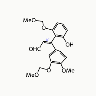 COCOc1cc(/C(=C\C=O)c2c(O)cccc2OCOC)ccc1OC